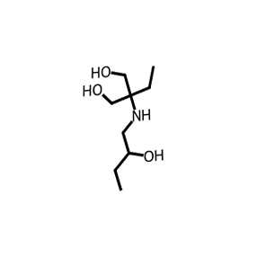 CCC(O)CNC(CC)(CO)CO